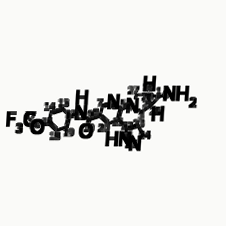 NC1[C@H]2CN(c3ncc(C(=O)Nc4ccc(OC(F)(F)F)cc4)cc3-c3ccn[nH]3)C[C@@H]12